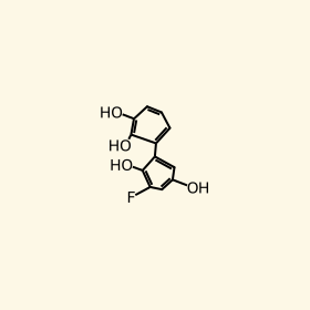 Oc1cc(F)c(O)c(-c2cccc(O)c2O)c1